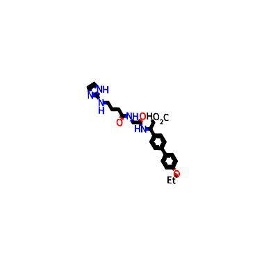 CCOc1ccc(-c2ccc(C(CC(=O)O)NC(=O)CNC(=O)CCCNc3ncc[nH]3)cc2)cc1